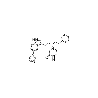 O=C1CN(C(CCc2ccccc2)CCc2c[nH]c3ccc(-n4cnnc4)cc23)CCN1